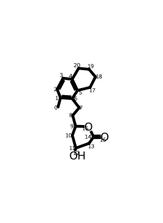 Cc1ccc2c(c1CCC1CC(O)CC(=O)O1)CCCC2